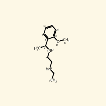 CCNCCN[C@@H](C)c1ccccc1OC